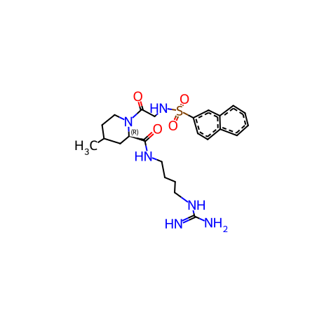 CC1CCN(C(=O)CNS(=O)(=O)c2ccc3ccccc3c2)[C@@H](C(=O)NCCCCNC(=N)N)C1